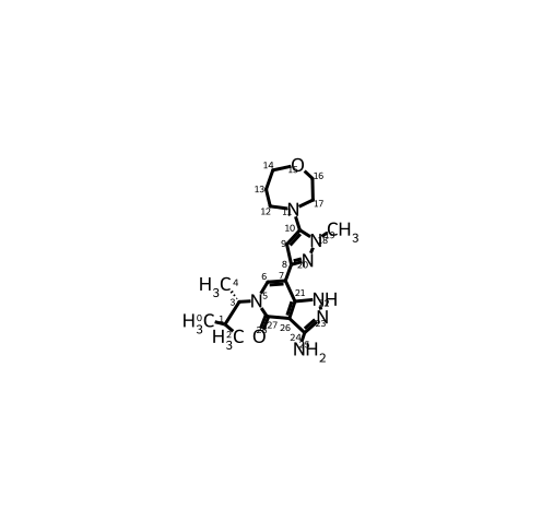 CC(C)[C@H](C)n1cc(-c2cc(N3CCCOCC3)n(C)n2)c2[nH]nc(N)c2c1=O